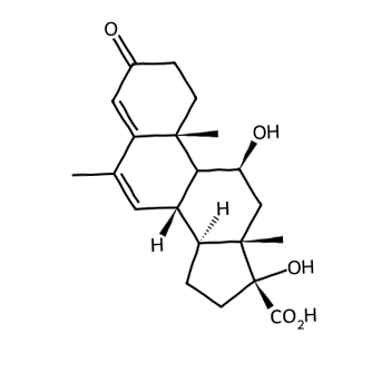 CC1=C[C@@H]2C([C@@H](O)C[C@@]3(C)[C@H]2CC[C@]3(O)C(=O)O)[C@@]2(C)CCC(=O)C=C12